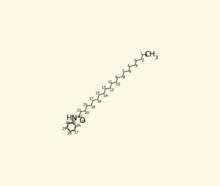 CCCCCCCCCCCCCCCCCCCCCCC(=O)Nc1ccccc1